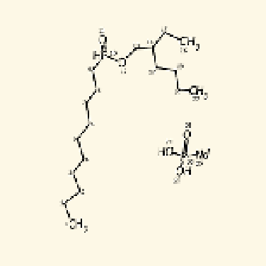 CCCCCCCCCC[PH](=O)OCC(CC)CCCC.O=[P](O)(O)[Nd]